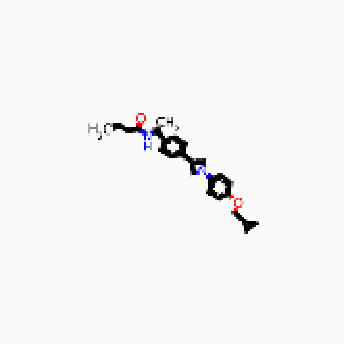 C=CCC(=O)N[C@@H](C)c1ccc(C2CN(c3ccc(OCC4CC4)cc3)C2)cc1